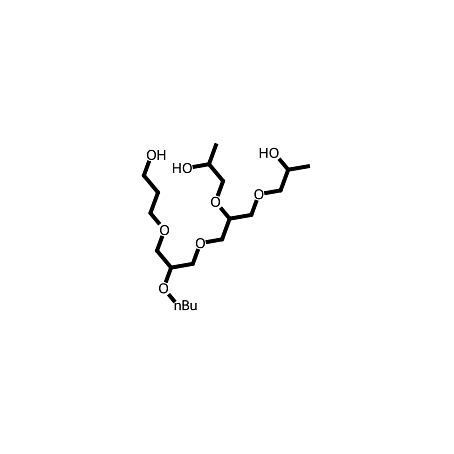 CCCCOC(COCCCO)COCC(COCC(C)O)OCC(C)O